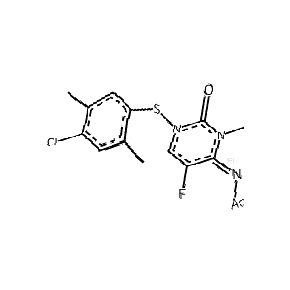 CC(=O)/N=c1\c(F)cn(Sc2cc(C)c(Cl)cc2C)c(=O)n1C